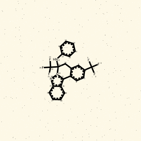 FC(F)(F)c1ccc2c(c1)CC(Nc1ccccc1)(C(F)(F)F)n1nc3ccccc3c1-2